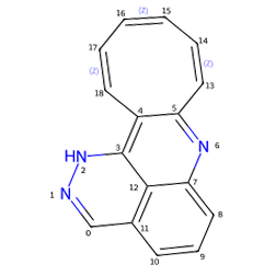 C1=NNc2c3c(nc4cccc1c24)\C=C/C=C\C=C/3